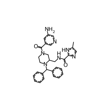 Cc1cnc(C(=O)NCC2CN(C(=O)c3cncc(N)c3)CCN2C(c2ccccc2)c2ccccc2)[nH]1